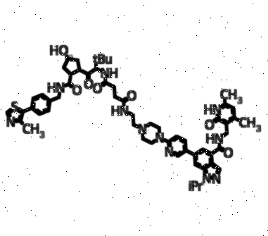 Cc1cc(C)c(CNC(=O)c2cc(-c3ccc(N4CCN(CCNC(=O)CCC(=O)NC(C(=O)C5C[C@H](O)CC5C(=O)NCc5ccc(-c6scnc6C)cc5)C(C)(C)C)CC4)nc3)cc3c2cnn3C(C)C)c(=O)[nH]1